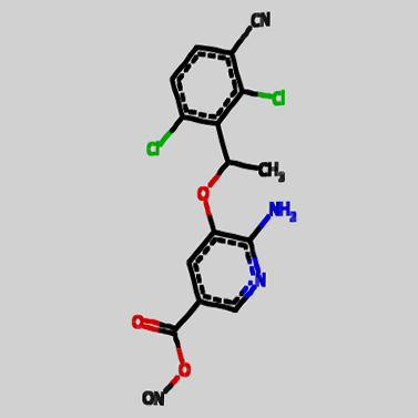 CC(Oc1cc(C(=O)ON=O)cnc1N)c1c(Cl)ccc(C#N)c1Cl